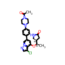 CC(=O)N1CCN(c2ccc(-c3cc(O[C@H](C)[C@H]4CNC(=O)C4)c4c(Cl)cnn4c3)cc2)CC1